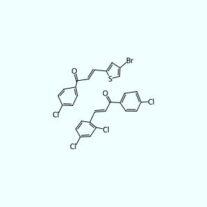 O=C(C=Cc1cc(Br)cs1)c1ccc(Cl)cc1.O=C(C=Cc1ccc(Cl)cc1Cl)c1ccc(Cl)cc1